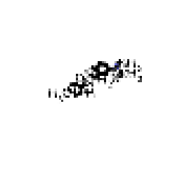 CN1CCC(F)(C(=O)Nc2cc3cc(/C(=C/N)N(C)N)ccc3cn2)CC1